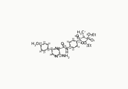 CCOP(=O)(OCC)C(C)S(=O)(=O)c1ccc(NC(=O)c2nc(-c3ccc(C)cc3)cnc2N)cc1